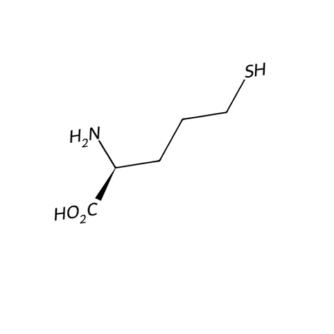 N[C@@H](CCCS)C(=O)O